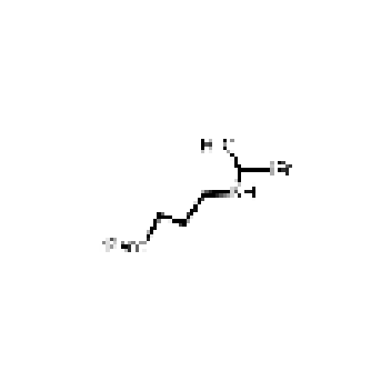 CCCCCCCCNC(C)C(C)C